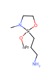 CCCO[Si]1(CCCN)OCCN1C